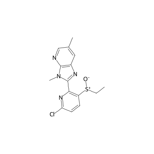 CC[S+]([O-])c1ccc(Cl)nc1-c1nc2cc(C)cnc2n1C